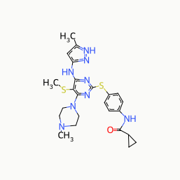 CSc1c(Nc2cc(C)[nH]n2)nc(Sc2ccc(NC(=O)C3CC3)cc2)nc1N1CCN(C)CC1